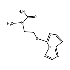 CN(CCSc1cccc2nccn12)C(N)=O